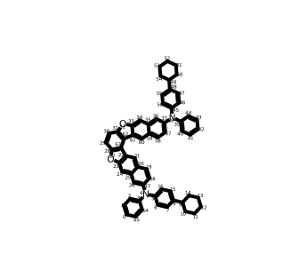 c1ccc(N(c2ccc(C3CCCCC3)cc2)c2ccc3cc4c(cc3c2)oc2ccc3oc5cc6cc(N(c7ccccc7)c7ccc(C8CCCCC8)cc7)ccc6cc5c3c24)cc1